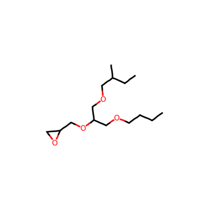 CCCCOCC(COCC(C)CC)OCC1CO1